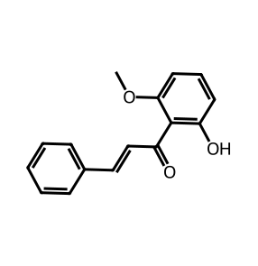 COc1cccc(O)c1C(=O)/C=C/c1ccccc1